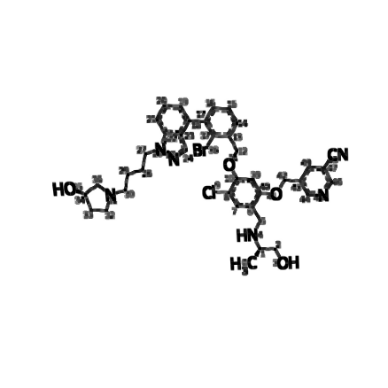 C[C@H](CO)NCc1cc(Cl)c(OCc2cccc(-c3cccc4c3cnn4CCCCN3CC[C@@H](O)C3)c2Br)cc1OCc1cncc(C#N)c1